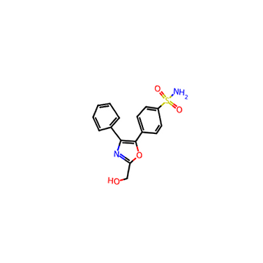 NS(=O)(=O)c1ccc(-c2oc(CO)nc2-c2ccccc2)cc1